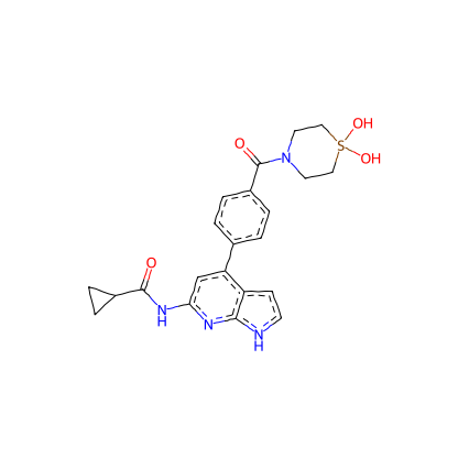 O=C(Nc1cc(-c2ccc(C(=O)N3CCS(O)(O)CC3)cc2)c2cc[nH]c2n1)C1CC1